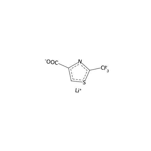 O=C([O-])c1csc(C(F)(F)F)n1.[Li+]